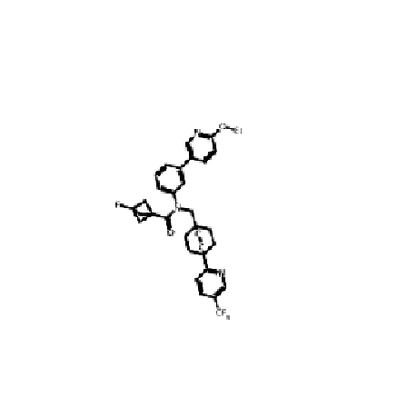 CCOc1ccc(-c2cccc(N(CC34CCC(c5ccc(C(F)(F)F)cn5)(CC3)CC4)C(=O)C34CC(F)(C3)C4)c2)cn1